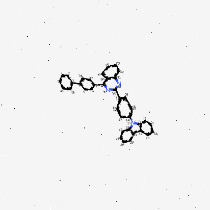 c1ccc(-c2ccc(-c3nc(-c4ccc(-n5c6ccccc6c6ccccc65)cc4)nc4ccccc34)cc2)cc1